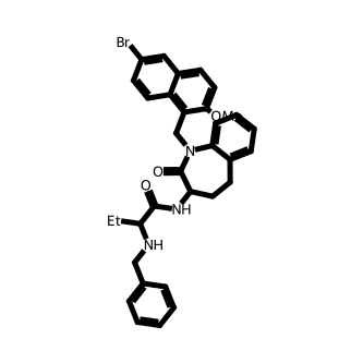 CCC(NCc1ccccc1)C(=O)NC1CCc2ccccc2N(Cc2c(OC)ccc3cc(Br)ccc23)C1=O